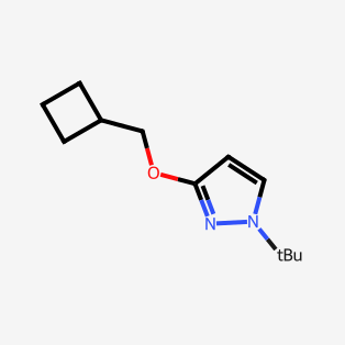 CC(C)(C)n1ccc(OCC2CCC2)n1